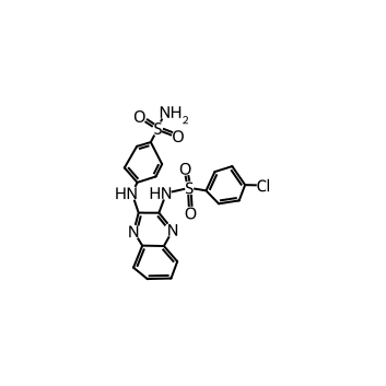 NS(=O)(=O)c1ccc(Nc2nc3ccccc3nc2NS(=O)(=O)c2ccc(Cl)cc2)cc1